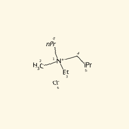 CCC[N+](C)(CC)CC(C)C.[Cl-]